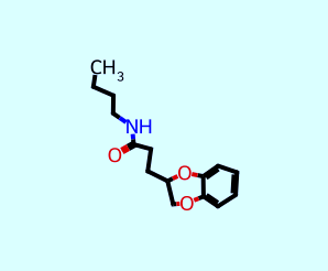 CCCCNC(=O)CCC1COc2ccccc2O1